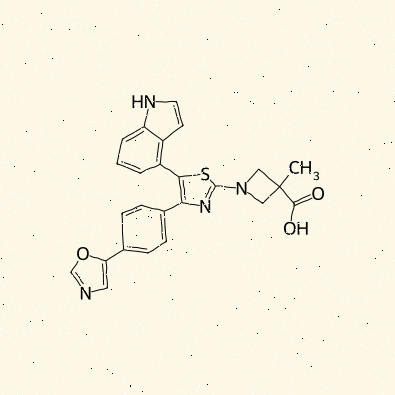 CC1(C(=O)O)CN(c2nc(-c3ccc(-c4cnco4)cc3)c(-c3cccc4[nH]ccc34)s2)C1